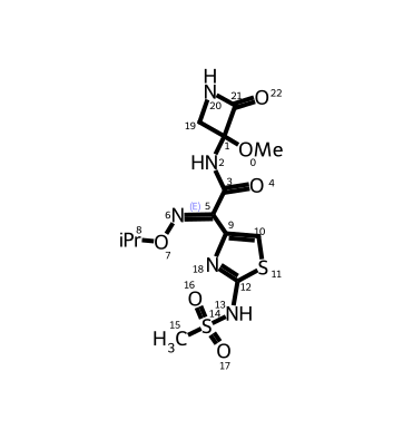 COC1(NC(=O)/C(=N/OC(C)C)c2csc(NS(C)(=O)=O)n2)CNC1=O